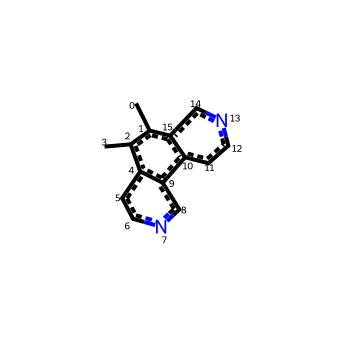 Cc1c(C)c2ccncc2c2ccncc12